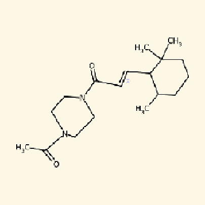 CC(=O)N1CCN(C(=O)/C=C/C2C(C)CCCC2(C)C)CC1